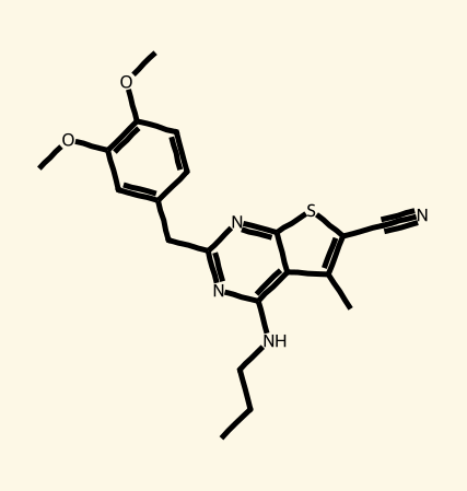 CCCNc1nc(Cc2ccc(OC)c(OC)c2)nc2sc(C#N)c(C)c12